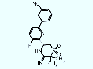 CC1(C)C(=N)N[C@H](c2nc(C3C=CC=C(C#N)C3)ccc2F)CS1(=O)=O